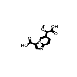 COC(C(=O)O)c1ccc2ncc(C(=O)O)n2c1